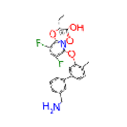 CC[C@@H](Oc1nc(Oc2cc(-c3cccc(CN)c3)ccc2C)c(F)cc1F)C(=O)O